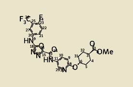 COC(=O)[C@H]1CC[C@@H](Oc2ccc(NC(=O)c3nnc(Nc4ccc(F)c(C(F)(F)F)c4)o3)cn2)CC1